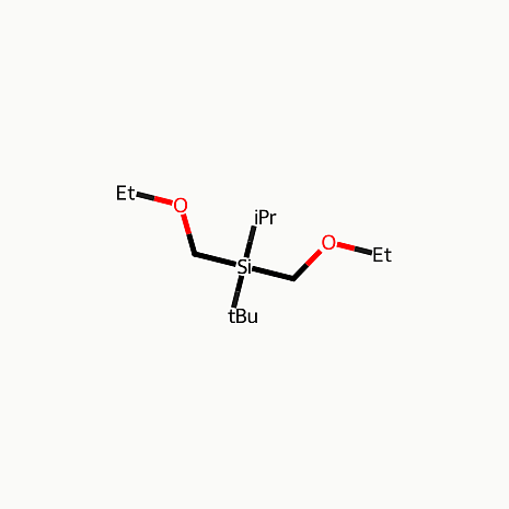 CCOC[Si](COCC)(C(C)C)C(C)(C)C